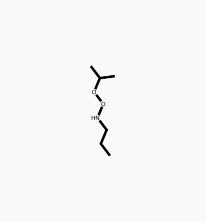 CCCNOOC(C)C